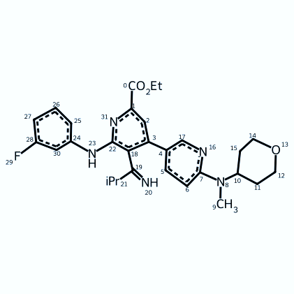 CCOC(=O)c1cc(-c2ccc(N(C)C3CCOCC3)nc2)c(C(=N)C(C)C)c(Nc2cccc(F)c2)n1